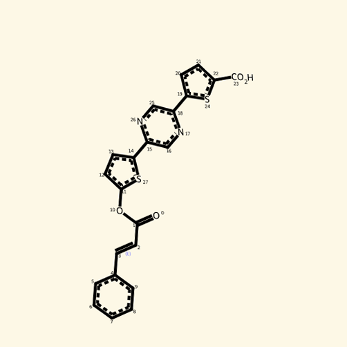 O=C(/C=C/c1ccccc1)Oc1ccc(-c2cnc(-c3ccc(C(=O)O)s3)cn2)s1